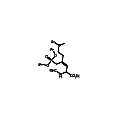 CCOC(=O)C(C=C(CCN(C)C(C)=O)CP(=O)(OC(C)C)OC(C)C)NC=O